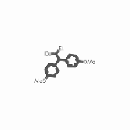 CCC(C)C(CC)C(c1ccc(OC)cc1)c1ccc(OC)cc1